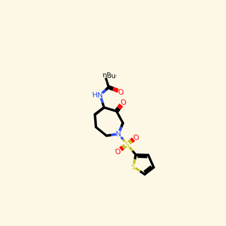 CCC[CH]C(=O)NC1CCCN(S(=O)(=O)c2cccs2)CC1=O